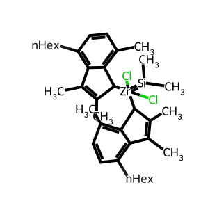 CCCCCCc1ccc(C)c2c1C(C)=C(C)[CH]2[Zr]([Cl])([Cl])([CH]1C(C)=C(C)c2c(CCCCCC)ccc(C)c21)=[Si](C)C